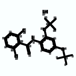 CC(C)(C)Oc1ccc(PC(=O)c2c(Cl)cccc2Cl)c(OC(C)(C)C)c1.[LiH]